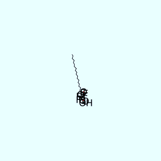 CCCCCCCCCCCCCCCCCCCC(=O)OC(CS(=O)(=O)O)(C(F)(F)F)C(F)(F)F